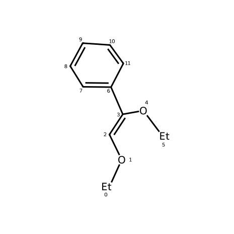 CCOC=C(OCC)c1ccccc1